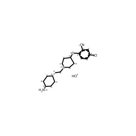 Cl.N#Cc1cc(Cl)ccc1OC1CCN(CC[C@H]2CC[C@H](N)CC2)CC1